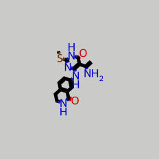 C=C(N)c1c(Nc2ccc3c(c2)C(=O)NCC3)nc(SC)[nH]c1=O